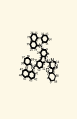 C1=Cc2oc3c(-n4c5ccc(N(c6ccccc6)c6cccc7ccccc67)cc5c5cc(N(c6ccccc6)c6cccc7ccccc67)ccc54)ncnc3c2CC1